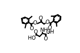 Cc1cccc(C)c1C(=O)OCC(=O)COC(=O)c1c(C)cccc1C.NC(CC(=O)O)C(=O)O